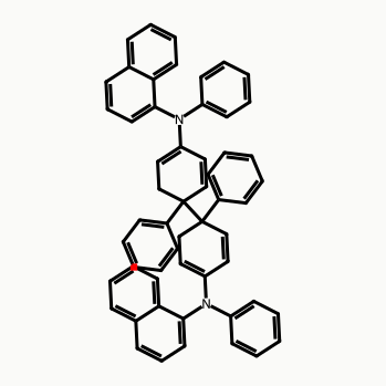 C1=CC(c2ccccc2)(C2(c3ccccc3)C=CC(N(c3ccccc3)c3cccc4ccccc34)=CC2)CC=C1N(c1ccccc1)c1cccc2ccccc12